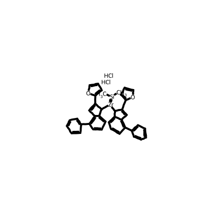 C[Si](C)=[Zr]([CH]1C(c2ccco2)=Cc2c(-c3ccccc3)cccc21)[CH]1C(c2ccco2)=Cc2c(-c3ccccc3)cccc21.Cl.Cl